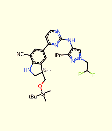 CC(C)c1nn(CC(F)F)cc1Nc1nccc(-c2cc(C#N)c3c(c2)[C@@](C)(CO[Si](C)(C)C(C)(C)C)CN3)n1